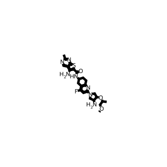 COCC(C)OC1CN(c2cc(F)c3c(n2)CCC(NC(=O)c2sc4nc(C)ncc4c2N)C3)CC1N